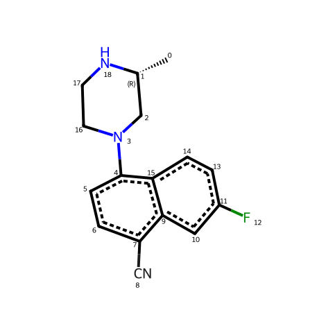 C[C@@H]1CN(c2ccc(C#N)c3cc(F)ccc23)CCN1